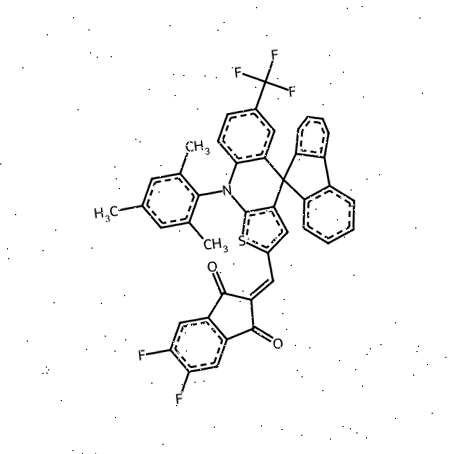 Cc1cc(C)c(N2c3ccc(C(F)(F)F)cc3C3(c4ccccc4-c4ccccc43)c3cc(C=C4C(=O)c5cc(F)c(F)cc5C4=O)sc32)c(C)c1